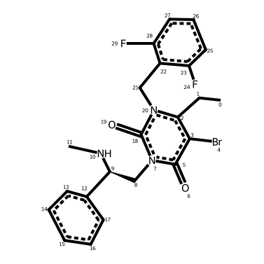 CCc1c(Br)c(=O)n(C[C@H](NC)c2ccccc2)c(=O)n1Cc1c(F)cccc1F